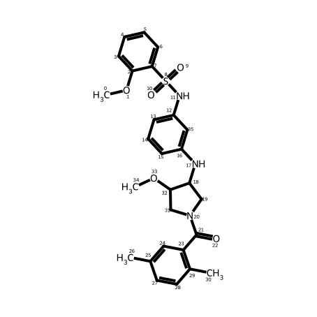 COc1ccccc1S(=O)(=O)Nc1cccc(NC2CN(C(=O)c3cc(C)ccc3C)CC2OC)c1